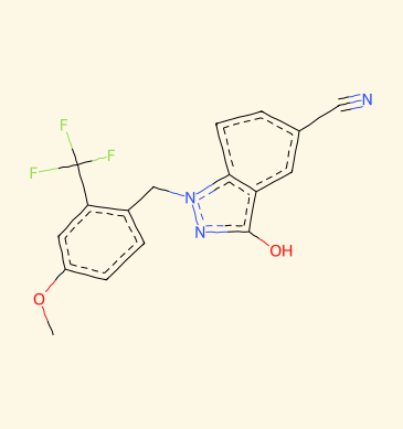 COc1ccc(Cn2nc(O)c3cc(C#N)ccc32)c(C(F)(F)F)c1